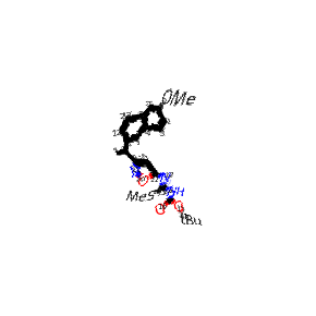 COc1ccc2cc(C(C)c3cc(/N=C(/NC(=O)OC(C)(C)C)SC)on3)ccc2c1